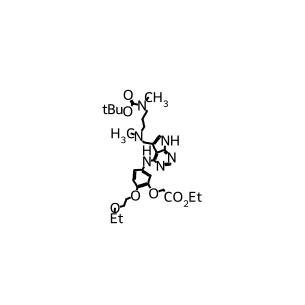 CCOCCOc1ccc(Nc2ncnc3[nH]cc(CN(C)CCCN(C)C(=O)OC(C)(C)C)c23)cc1OCC(=O)OCC